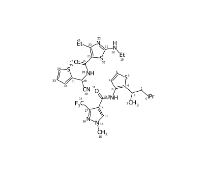 CC(C)CC(C)c1sccc1NC(=O)c1cn(C)nc1C(F)(F)F.CCNc1nc(CC)c(C(=O)NC(C#N)c2cccs2)s1